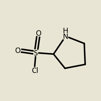 O=S(=O)(Cl)C1CCCN1